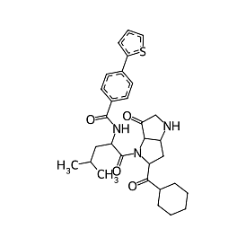 CC(C)CC(NC(=O)c1ccc(-c2cccs2)cc1)C(=O)N1C(C(=O)C2CCCCC2)CC2NCC(=O)C21